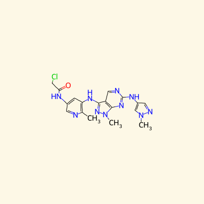 Cc1ncc(NC(=O)CCl)cc1Nc1nn(C)c2nc(Nc3cnn(C)c3)ncc12